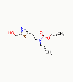 C=CCOC(=O)N(CC=C)CCc1cnc(CO)s1